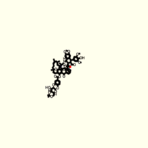 COc1cc(C2c3cc4c(cc3C(NC(=O)/C(C)=C\CC35OC(C)(C)C6CC(C=C7C(=O)c8c(OC(=O)c9ccc(O[C@@H]%10O[C@@H]%11COC(C)(C)O[C@H]%11[C@@H](O)[C@H]%10O)cc9)c9c(c(CC=C(C)C)c8OC763)OC(C)(CCC=C(C)C)C=C9)C5=O)C3COC(=O)C23)OCO4)cc(OC)c1O